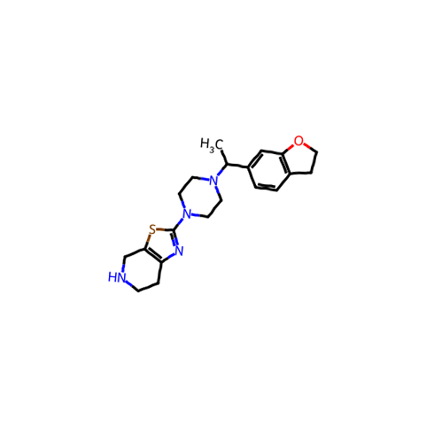 CC(c1ccc2c(c1)OCC2)N1CCN(c2nc3c(s2)CNCC3)CC1